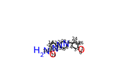 COc1ccc(CN2CCCN(c3cc[c]c(C(N)=O)n3)CC2)c(C)c1C